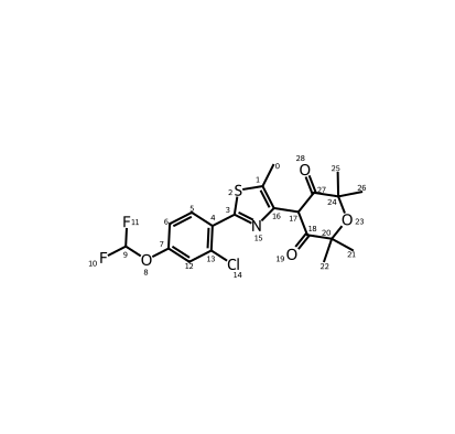 Cc1sc(-c2ccc(OC(F)F)cc2Cl)nc1C1C(=O)C(C)(C)OC(C)(C)C1=O